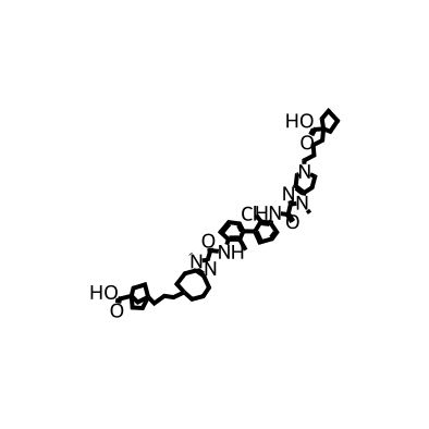 Cc1c(NC(=O)c2nc3c(n2C)CCC(CCCC24CCC(C(=O)O)(CC2)C4)CCC3)cccc1-c1cccc(NC(=O)c2nc3c(n2C)CCN(CCCCC2(C(=O)O)CCCC2)C3)c1Cl